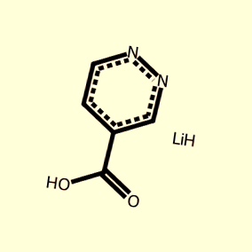 O=C(O)c1ccnnc1.[LiH]